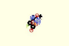 COc1ccc(S(=O)(=O)Nc2c(-c3ccc(F)cc3)nn(C)c2C(=O)N[C@@H](C)C(C)(C)C)cc1